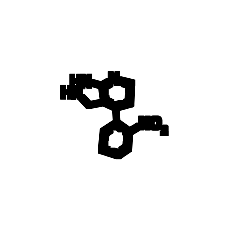 O=[N+]([O-])c1ccccc1-c1ccnc2c1CNN2